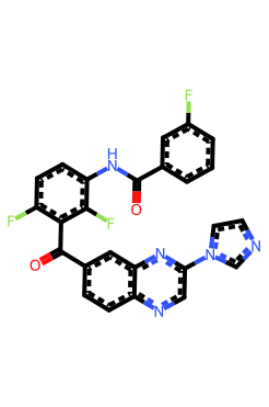 O=C(Nc1ccc(F)c(C(=O)c2ccc3ncc(-n4ccnc4)nc3c2)c1F)c1cccc(F)c1